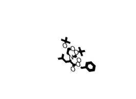 CC(C)CC(C(=O)OCc1ccccc1)N(CC(=O)OC(C)(C)C)C(=O)OC(C)(C)C